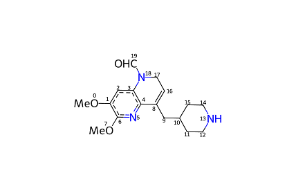 COc1cc2c(nc1OC)C(CC1CCNCC1)=CCN2C=O